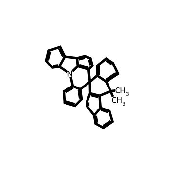 CC1(C)c2ccccc2C2(c3ccccc3-n3c4ccccc4c4cccc2c43)c2ccc3ccccc3c21